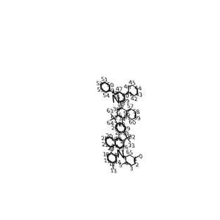 CC1=CC=C(C)C(N(c2cccc(C)c2)c2cc3c(c4ccccc24)-c2cc4c(cc2C3(C)C)C2=C(C=C(c3cc(C5=CC=CCC5)cc(-c5ccccc5)n3)C3=CC=CCC32)C4(C)C)C1